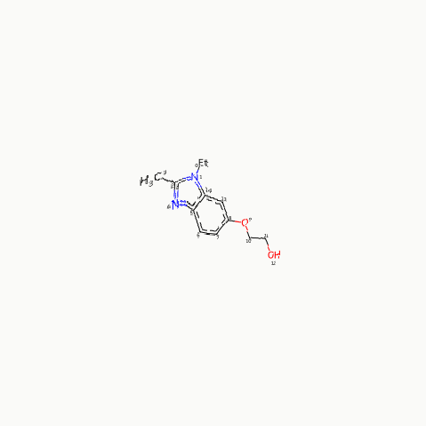 CCn1c(C)nc2ccc(OCCO)cc21